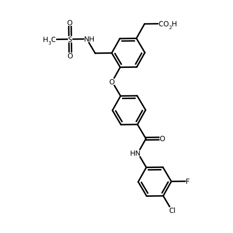 CS(=O)(=O)NCc1cc(CC(=O)O)ccc1Oc1ccc(C(=O)Nc2ccc(Cl)c(F)c2)cc1